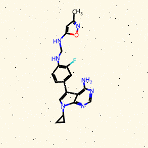 Cc1cc(NCNc2ccc(-c3cn(C4CC4)c4ncnc(N)c34)cc2F)on1